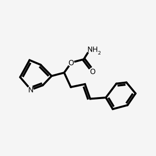 NC(=O)OC(CC=Cc1ccccc1)c1cccnc1